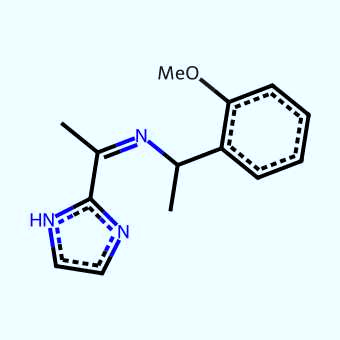 COc1ccccc1C(C)N=C(C)c1ncc[nH]1